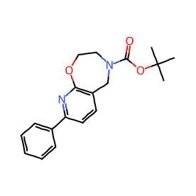 CC(C)(C)OC(=O)N1CCOc2nc(-c3ccccc3)ccc2C1